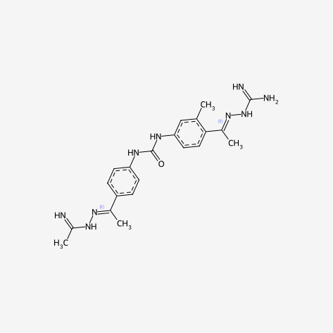 CC(=N)N/N=C(\C)c1ccc(NC(=O)Nc2ccc(/C(C)=N/NC(=N)N)c(C)c2)cc1